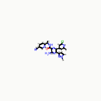 Cc1cc(-c2nc(C(=O)NC(C)c3ccc(C#N)cn3)c(N)nc2-c2ccn(C)n2)cc(Cl)n1